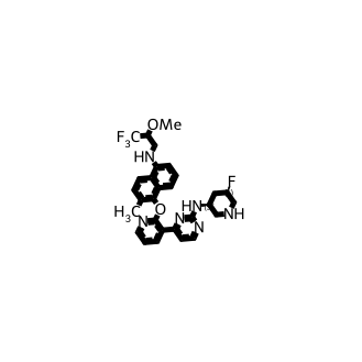 COC(CNc1cccc2c(Oc3ncccc3-c3ccnc(N[C@@H]4CNC[C@@H](F)C4)n3)c(C)ccc12)C(F)(F)F